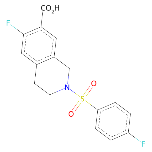 O=C(O)c1cc2c(cc1F)CCN(S(=O)(=O)c1ccc(F)cc1)C2